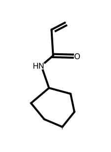 C=CC(=O)NC1CC[CH]CC1